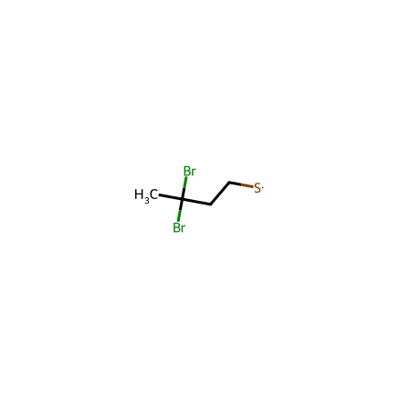 CC(Br)(Br)CC[S]